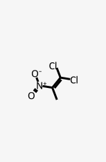 CC(=C(Cl)Cl)[N+](=O)[O-]